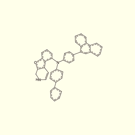 C1=Cc2c(oc3cccc(N(c4ccc(-c5ccccc5)cc4)c4ccc(-c5cc6ccccc6c6ccccc56)cc4)c23)CN1